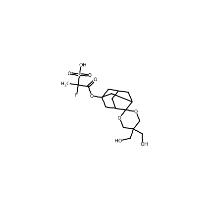 CC(F)(C(=O)OC12CC3CC(C1)C1(OCC(CO)(CO)CO1)C(C3)C2)S(=O)(=O)O